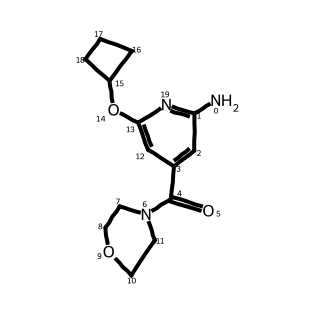 Nc1cc(C(=O)N2CCOCC2)cc(OC2CCC2)n1